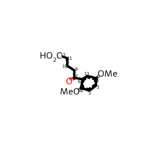 COc1ccc(OC)c(C(=O)CCCC(=O)O)c1